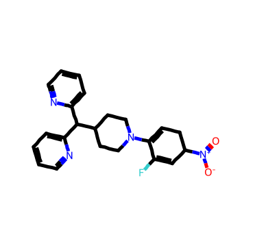 O=[N+]([O-])C1C=C(F)C(N2CCC(C(c3ccccn3)c3ccccn3)CC2)=CC1